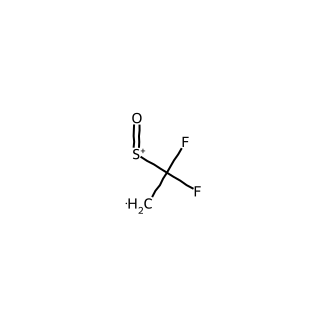 [CH2]C(F)(F)[S+]=O